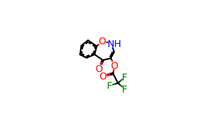 O=C1C(OC(=O)C(F)(F)F)=CNOc2ccccc21